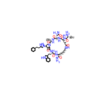 CC[C@H](C)[C@H](N)C(=O)N[C@H]1CCC(=O)NCCCC[C@@H](C(N)=O)NC(=O)[C@H](CCc2c[nH]c3ccccc23)NC(=O)[C@@H]2C[C@H](n3cc(CCc4ccccc4)nn3)CN2C(=O)[C@H]([C@@H](C)CC)NC(=O)[C@H](CC(N)=O)NC1=O